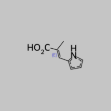 C/C(=C\c1ccc[nH]1)C(=O)O